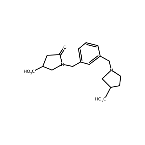 O=C(O)C1CCN(Cc2cccc(CN3CC(C(=O)O)CC3=O)c2)C1